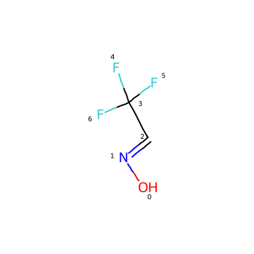 ON=CC(F)(F)F